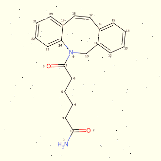 NC(=O)CCCCC(=O)N1Cc2ccccc2/C=C\c2ccccc21